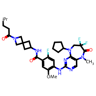 COc1cc(C(=O)NC2CC3(C2)CN(C(=O)CCC(C)C)C3)c(F)cc1Nc1ncc2c(n1)N(C1CCCC1)CC(F)(F)C(=O)N2C